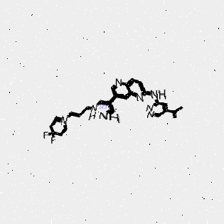 CC(C)c1cnnc(Nc2ccc3ncc(/C(C=N)=C/NCCCN4CCC(F)(F)CC4)cc3n2)c1